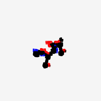 COc1ccccc1C#Cc1ccc(OC(C)C)c(C(=O)NC(C)(CO)Cc2c[nH]c3ccccc23)c1.COc1ccccc1C#Cc1ccc(OC(C)C)c(C(=O)NC(C)(Cc2c[nH]c3ccccc23)C(=O)O)c1